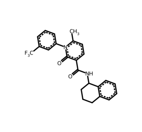 Cc1ccc(C(=O)NC2CCCc3ccccc32)c(=O)n1-c1cccc(C(F)(F)F)c1